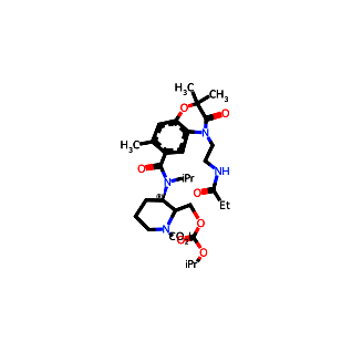 CCC(=O)NCCN1C(=O)C(C)(C)Oc2cc(C)c(C(=O)N(C(C)C)[C@@H]3CCCN(C(=O)O)C3COC(=O)OC(C)C)cc21